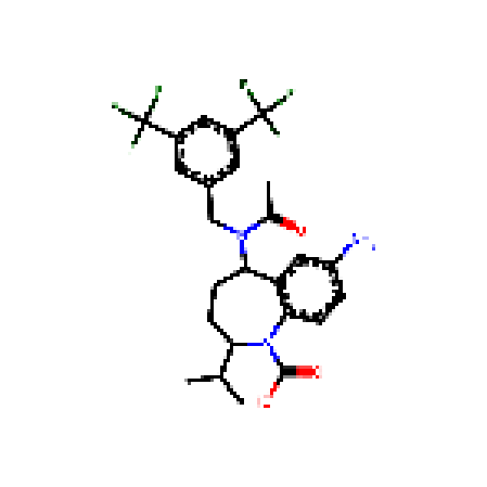 CC(=O)N(Cc1cc(C(F)(F)F)cc(C(F)(F)F)c1)C1CCC(C(C)C)N(C(=O)O)c2ccc(N)cc21